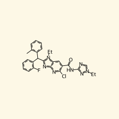 CCn1cnc(NC(=O)c2cc3c(nc2Cl)nc(C(c2ccccc2C)c2ccccc2F)n3CC)n1